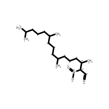 CC(C)CCCC(C)CCCC(C)CCCC(C)C([C]=O)[N+](=O)[O-]